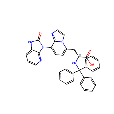 O=C(O)[C@H](Cc1ccc(-n2c(=O)[nH]c3cccnc32)c2nccn12)NC(c1ccccc1)(c1ccccc1)c1ccccc1